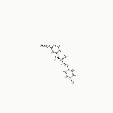 COc1cccc(N(C)C(=O)/C=C/c2ccc(Cl)cc2)c1